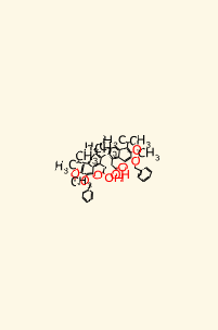 COc1c(OCc2ccccc2)cc2c(CC(=O)O)c(-c3c(C)cc4c(C(C)C)c(OC)c(OCc5ccccc5)cc4c3CC(=O)O)c(C)cc2c1C(C)C